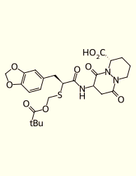 CC(C)(C)C(=O)OCS[C@@H](Cc1ccc2c(c1)OCO2)C(=O)NC1CC(=O)N2CCC[C@@H](C(=O)O)N2C1=O